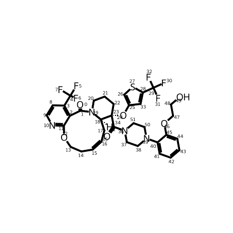 O=C1c2c(C(F)(F)F)ccnc2OCC/C=C\C[C@H]2N1CCC[C@@]2(Oc1csc(C(F)(F)F)c1)C(=O)N1CCN(c2ccccc2OCCO)CC1